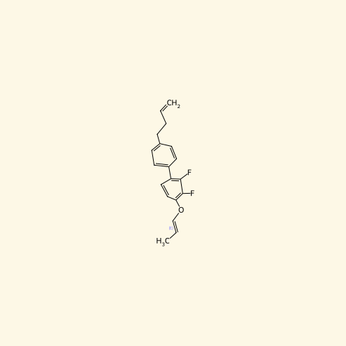 C=CCCc1ccc(-c2ccc(O/C=C/C)c(F)c2F)cc1